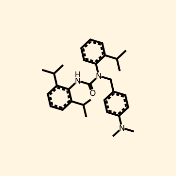 CC(C)c1ccccc1N(Cc1ccc(N(C)C)cc1)C(=O)Nc1c(C(C)C)cccc1C(C)C